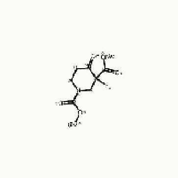 COC(=O)C1(F)CN(C(=O)OC(C)(C)C)CCC1=O